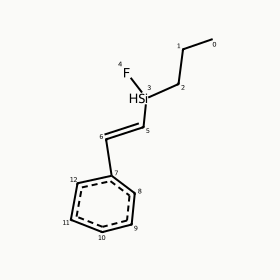 CCC[SiH](F)C=Cc1ccccc1